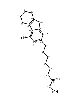 COC(=O)CCCCCCc1nc(Cl)c2c3c(sc2n1)CCCC3